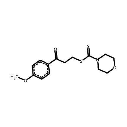 COc1ccc(C(=O)CCSC(=S)N2CCOCC2)cc1